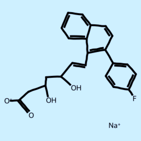 O=C([O-])CC(O)CC(O)/C=C/c1c(-c2ccc(F)cc2)ccc2ccccc12.[Na+]